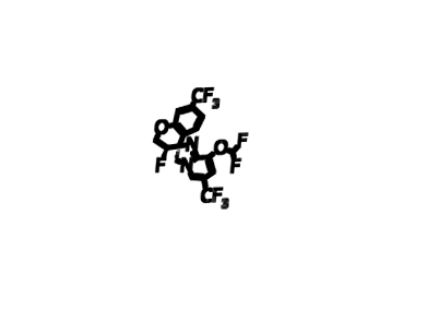 FC(F)OC1=CC(C(F)(F)F)=CN2C[C@@]3(N=C12)c1ccc(C(F)(F)F)cc1OC[C@@H]3F